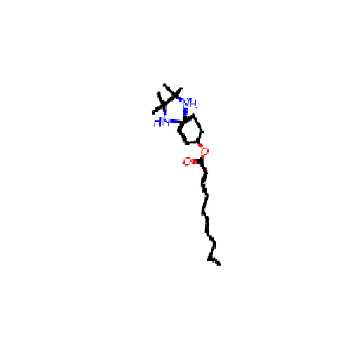 CCCCCCCCCC(=O)OC1CCC2(CC1)NC(C)(C)C(C)(C)N2